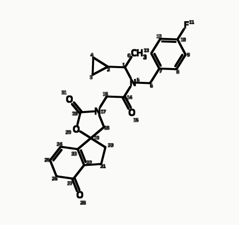 CC(C1CC1)N(Cc1ccc(F)cc1)C(=O)CN1CC2(CCC3=C2C=CCC3=O)OC1=O